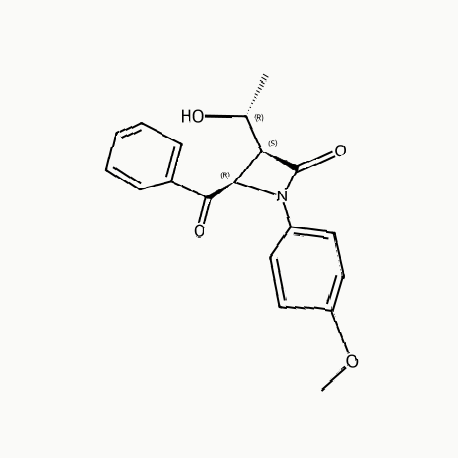 COc1ccc(N2C(=O)[C@H]([C@@H](C)O)[C@@H]2C(=O)c2ccccc2)cc1